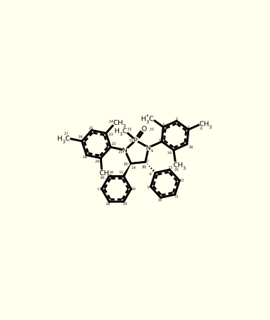 Cc1cc(C)c(N2[C@H](c3ccccc3)[C@@H](c3ccccc3)N(c3c(C)cc(C)cc3C)P2(C)=O)c(C)c1